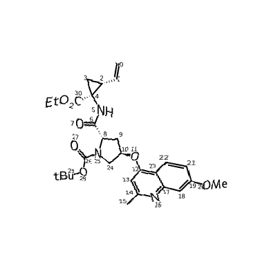 C=C[C@H]1C[C@@]1(NC(=O)[C@@H]1C[C@@H](Oc2cc(C)nc3cc(OC)ccc23)CN1C(=O)OC(C)(C)C)C(=O)OCC